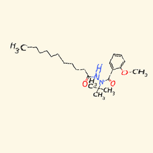 CCCCCCCCCCC(=O)NN(C(=O)c1ccccc1OC)C(C)(C)C